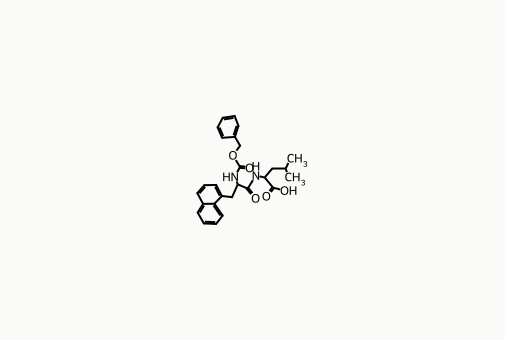 CC(C)CC(NC(=O)C(Cc1cccc2ccccc12)NC(=O)OCc1ccccc1)C(=O)O